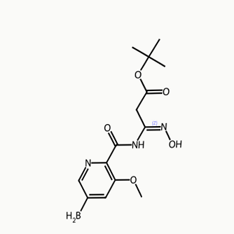 Bc1cnc(C(=O)N/C(CC(=O)OC(C)(C)C)=N\O)c(OC)c1